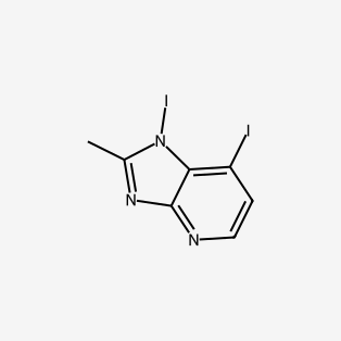 Cc1nc2nccc(I)c2n1I